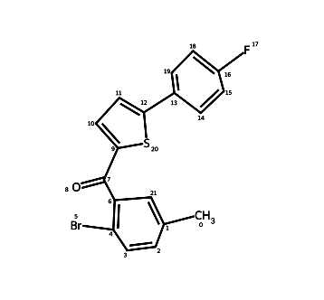 Cc1ccc(Br)c(C(=O)c2ccc(-c3ccc(F)cc3)s2)c1